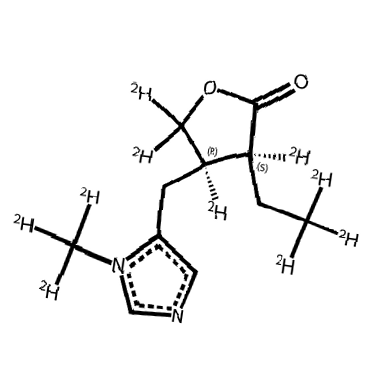 [2H]C([2H])([2H])C[C@]1([2H])C(=O)OC([2H])([2H])[C@]1([2H])Cc1cncn1C([2H])([2H])[2H]